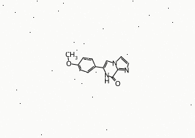 COc1ccc(-c2cn3ccnc3c(=O)[nH]2)cc1